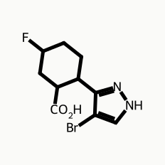 O=C(O)C1CC(F)CCC1c1n[nH]cc1Br